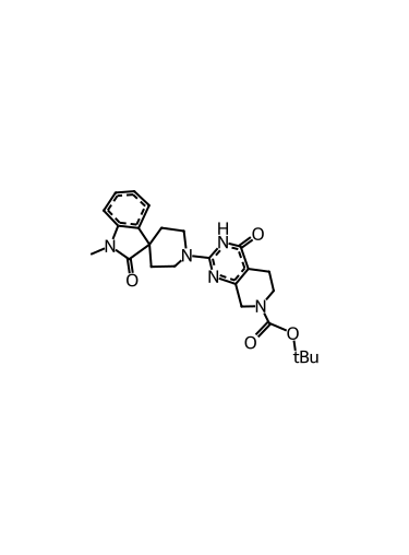 CN1C(=O)C2(CCN(c3nc4c(c(=O)[nH]3)CCN(C(=O)OC(C)(C)C)C4)CC2)c2ccccc21